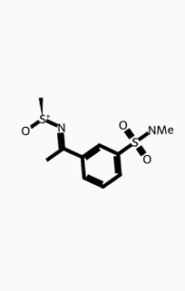 CNS(=O)(=O)c1cccc(/C(C)=N/[S@+](C)[O-])c1